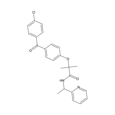 CC(NC(=O)C(C)(C)Oc1ccc(C(=O)c2ccc(Cl)cc2)cc1)c1ccccn1